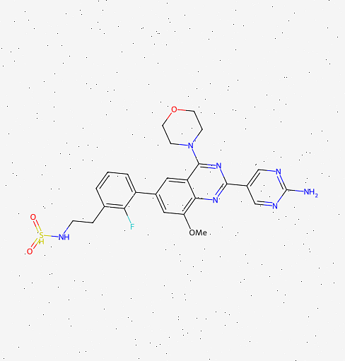 COc1cc(-c2cccc(CCN[SH](=O)=O)c2F)cc2c(N3CCOCC3)nc(-c3cnc(N)nc3)nc12